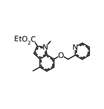 CCOC(=O)c1cc2c(C)ccc(OCc3ccccn3)c2n1C